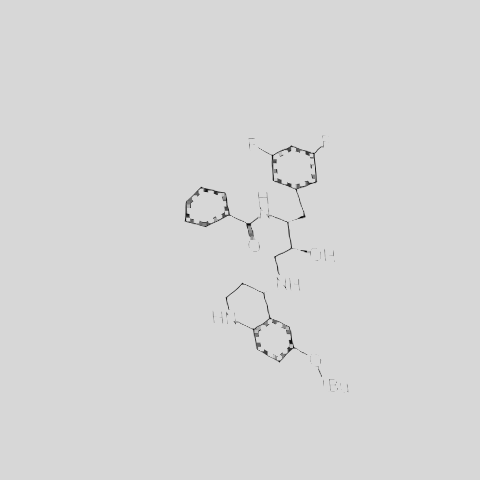 CC(C)(C)Oc1ccc2c(c1)[C@@H](NC[C@H](O)[C@H](Cc1cc(F)cc(F)c1)NC(=O)c1ccccc1)CCN2